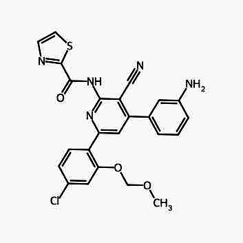 COCOc1cc(Cl)ccc1-c1cc(-c2cccc(N)c2)c(C#N)c(NC(=O)c2nccs2)n1